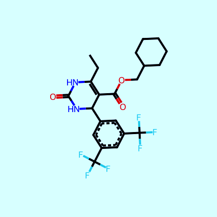 CCC1=C(C(=O)OCC2CCCCC2)C(c2cc(C(F)(F)F)cc(C(F)(F)F)c2)NC(=O)N1